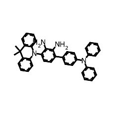 CC1(C)c2ccccc2N(c2ccc(-c3ccc(N(c4ccccc4)c4ccccc4)cc3)c(N)c2N)c2ccccc21